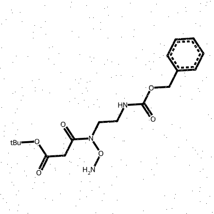 CC(C)(C)OC(=O)CC(=O)N(CCNC(=O)OCc1ccccc1)ON